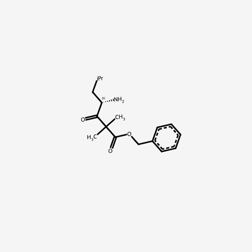 CC(C)C[C@H](N)C(=O)C(C)(C)C(=O)OCc1ccccc1